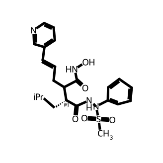 CC(C)C[C@@H](C(=O)NN(c1ccccc1)S(C)(=O)=O)C(CC=Cc1cccnc1)C(=O)NO